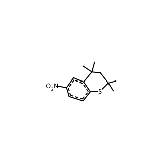 CC1(C)CC(C)(C)c2cc([N+](=O)[O-])ccc2S1